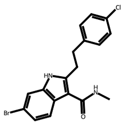 CNC(=O)c1c(CCc2ccc(Cl)cc2)[nH]c2cc(Br)ccc12